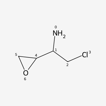 NC(CCl)C1CO1